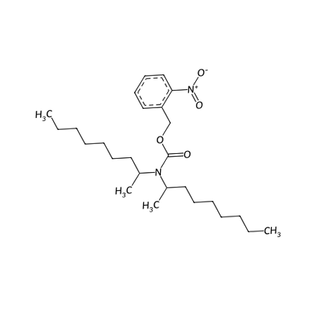 CCCCCCCC(C)N(C(=O)OCc1ccccc1[N+](=O)[O-])C(C)CCCCCCC